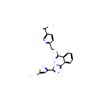 CC(=O)c1ccc(COc2nn3c(-c4cc(C)on4)nnc3c3ccccc23)nc1